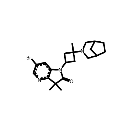 CC1(C)C(=O)N(C2CC(C)(N3CC4CCC(C4)C3)C2)c2cc(Br)cnc21